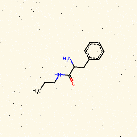 CCCNC(=O)C(N)Cc1ccccc1